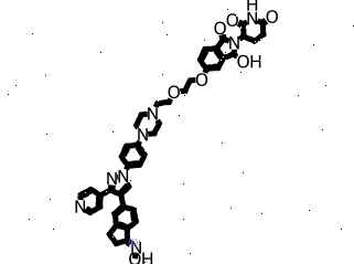 O=C1CCC(N2C(=O)c3ccc(OCCOCCN4CCN(c5ccc(-n6cc(-c7ccc8c(c7)CC/C8=N\O)c(-c7ccncc7)n6)cc5)CC4)cc3C2O)C(=O)N1